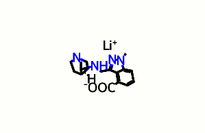 Cn1nc(CN[C@@H]2CN3CCC2CC3)c2c(C(=O)[O-])cccc21.[Li+]